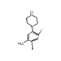 Cc1cc(N2CCNCC2)c(F)cc1F